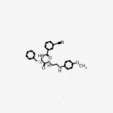 COc1ccc(NCCNC(=O)[C@H](Cc2ccccc2)NC(=O)c2cccc(C#N)c2)cc1